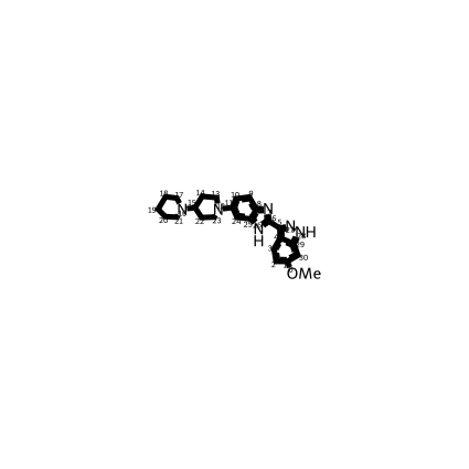 COc1ccc2c(-c3nc4ccc(N5CCC(N6CCCCC6)CC5)cc4[nH]3)n[nH]c2c1